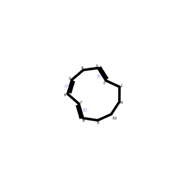 [CH]1C/C=C/C/C=C\C=C\CC1